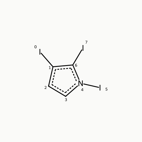 Ic1ccn(I)c1I